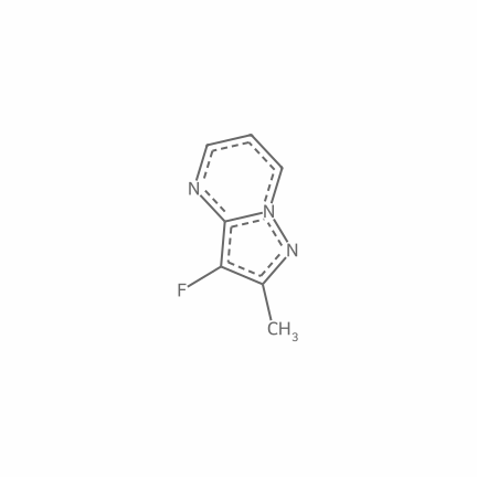 Cc1nn2cccnc2c1F